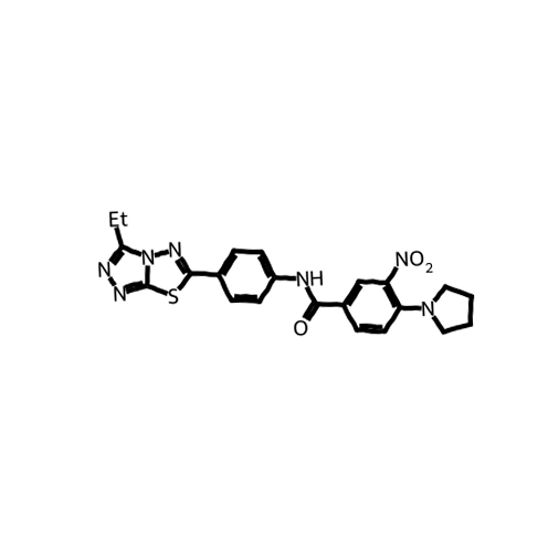 CCc1nnc2sc(-c3ccc(NC(=O)c4ccc(N5CCCC5)c([N+](=O)[O-])c4)cc3)nn12